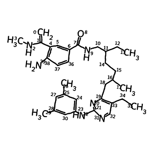 C=C(NC)c1cc(C(=O)NCC(CC)CCC(C)Cc2nc(Nc3cc(C)cc(C)c3)ncc2CC)ccc1N